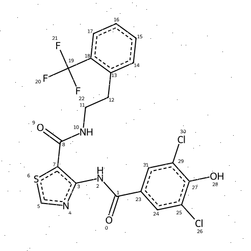 O=C(Nc1ncsc1C(=O)NCCc1ccccc1C(F)(F)F)c1cc(Cl)c(O)c(Cl)c1